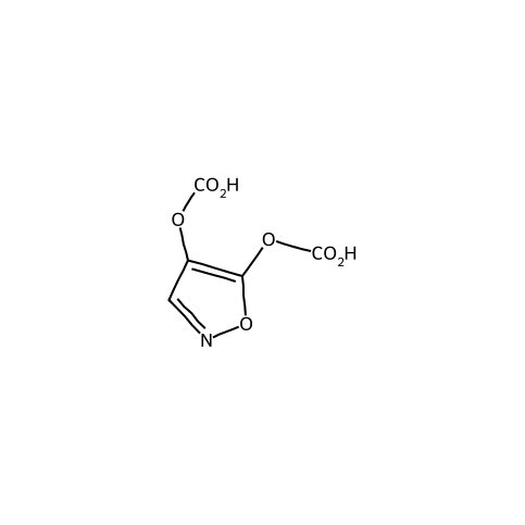 O=C(O)Oc1cnoc1OC(=O)O